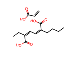 C=CC(=O)O.CCCCC(=CC=C(CC)C(=O)O)C(=O)O